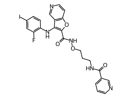 O=C(NCCCONC(=O)c1oc2ccncc2c1Nc1ccc(I)cc1F)c1cccnc1